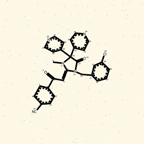 CN1C(=CC(=O)c2ccc(C#N)cc2)N(Cc2cccc(Cl)c2)C(=O)C1(c1ccncc1)c1ccncc1